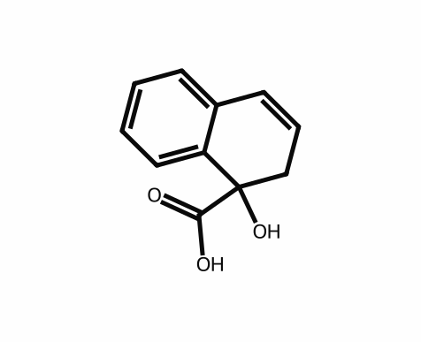 O=C(O)C1(O)CC=Cc2ccccc21